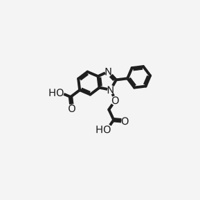 O=C(O)COn1c(-c2ccccc2)nc2ccc(C(=O)O)cc21